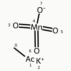 CC(C)=O.[K+].[O]=[Mn](=[O])(=[O])[O-]